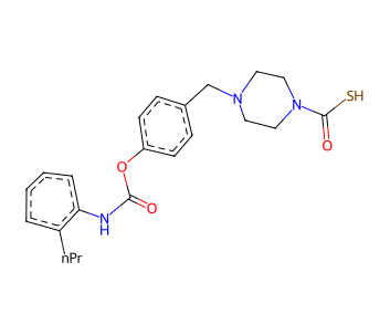 CCCc1ccccc1NC(=O)Oc1ccc(CN2CCN(C(=O)S)CC2)cc1